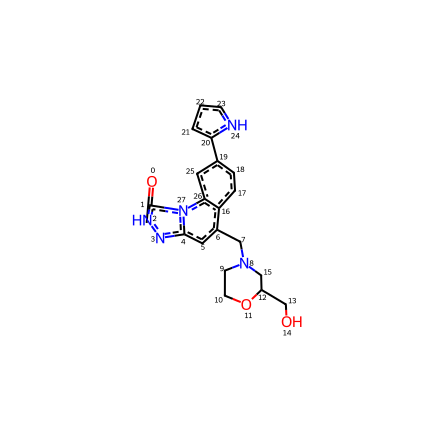 O=c1[nH]nc2cc(CN3CCOC(CO)C3)c3ccc(-c4ccc[nH]4)cc3n12